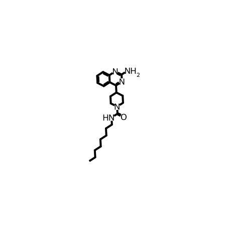 CCCCCCCCNC(=O)N1CCC(c2nc(N)nc3ccccc23)CC1